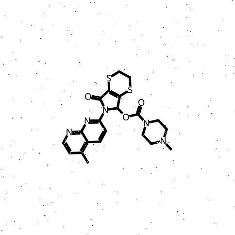 Cc1ccnc2nc(N3C(=O)C4=C(SCCS4)C3OC(=O)N3CCN(C)CC3)ccc12